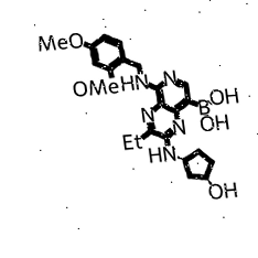 CCc1nc2c(NCc3ccc(OC)cc3OC)ncc(B(O)O)c2nc1N[C@@H]1CC[C@H](O)C1